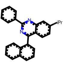 CC(C)c1ccc2c(-c3cccc4ccccc34)nc(-c3ccccc3)nc2c1